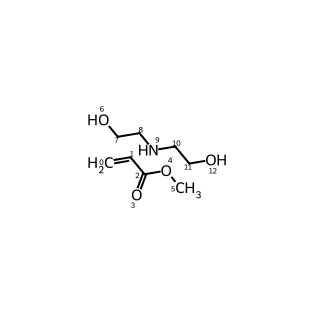 C=CC(=O)OC.OCCNCCO